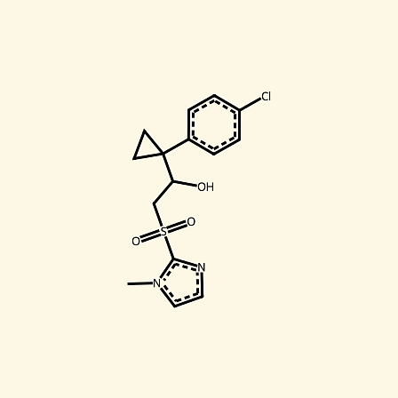 Cn1ccnc1S(=O)(=O)CC(O)C1(c2ccc(Cl)cc2)CC1